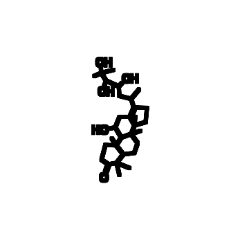 CC(CC(O)C(O)C(C)(C)O)C1=C2CC(O)C3C4(C)CCC(=O)C(C)(C)C4CCC3(C)C2(C)CC1